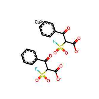 O=C([O-])C(C(=O)c1ccccc1)S(=O)(=O)F.O=C([O-])C(C(=O)c1ccccc1)S(=O)(=O)F.[Cu+2]